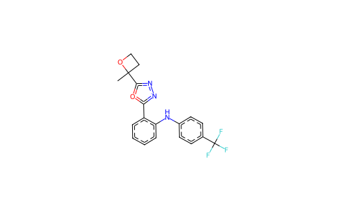 CC1(c2nnc(-c3ccccc3Nc3ccc(C(F)(F)F)cc3)o2)CCO1